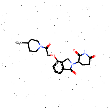 O=C1CCC(N2Cc3c(OCC(=O)N4CCC(C(=O)O)CC4)cccc3C2=O)C(=O)N1